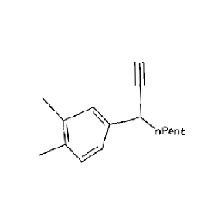 [C]#CC(CCCCC)c1ccc(C)c(C)c1